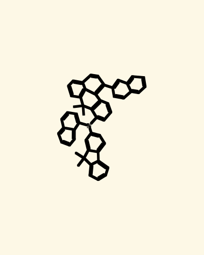 CC1(C)c2ccccc2-c2ccc(N(c3cccc4c3C(C)(C)c3cccc5ccc(-c6ccc7ccccc7c6)c-4c35)c3cccc4ccccc34)cc21